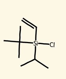 C=C[Si](Cl)(C(C)C)C(C)(C)C